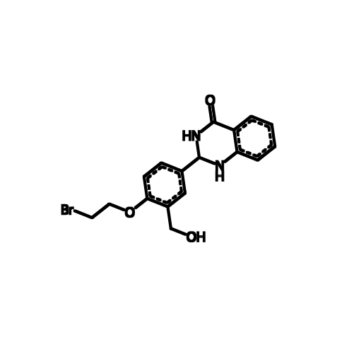 O=C1NC(c2ccc(OCCBr)c(CO)c2)Nc2ccccc21